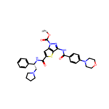 CCCOC(=O)n1nc(NC(=O)c2ccc(N3CCOCC3)cc2)c2sc(C(=O)N[C@H](CN3CCCC3)c3ccccc3)cc21